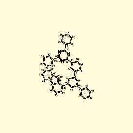 c1ccc(-c2cc(-c3cccc(-c4nc(-c5ccccc5)nc(-c5ccccc5)n4)c3)cc(-c3cccc4c3sc3ccccc34)c2)cc1